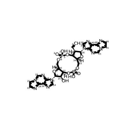 C=C[C@@H]1[C@@H]2OP(=O)(O)OC[C@H]3O[C@@H](n4cnc5c4ncn4ccnc54)[C@H](O)[C@@H]3OP(=O)(O)OC[C@H]2O[C@H]1n1cnc2c1ncn1ccnc21